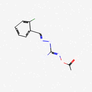 CC(=O)O/N=C(\N)N/N=C/c1ccccc1Cl